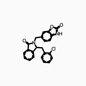 O=C1c2ccccc2C(Cc2ccccc2Cl)N1Cc1ccc2[nH]c(=O)oc2c1